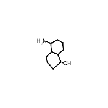 NC1CCCC2C(O)CCCC12